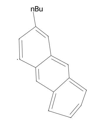 CCCCc1c[c]c2cc3ccccc3cc2c1